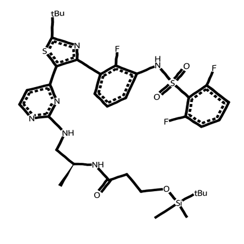 C[C@@H](CNc1nccc(-c2sc(C(C)(C)C)nc2-c2cccc(NS(=O)(=O)c3c(F)cccc3F)c2F)n1)NC(=O)CCO[Si](C)(C)C(C)(C)C